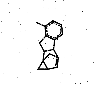 Cc1cccc2c1CC1C2C2=CC3CC31C2